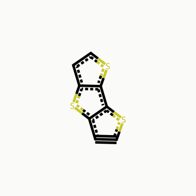 c1sc2c(c#1)sc1ccsc12